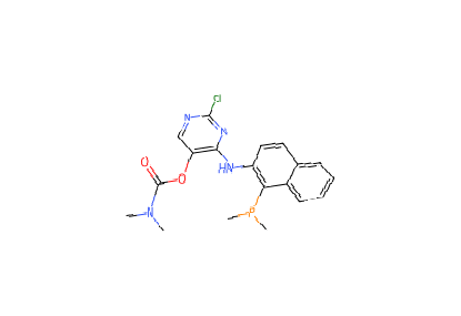 CN(C)C(=O)Oc1cnc(Cl)nc1Nc1ccc2ccccc2c1P(C)C